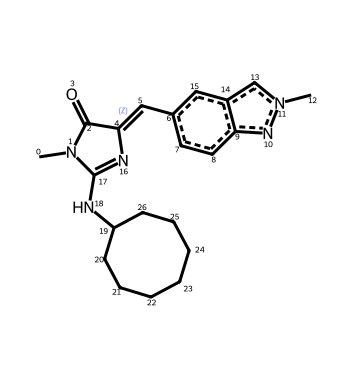 CN1C(=O)/C(=C/c2ccc3nn(C)cc3c2)N=C1NC1CCCCCCC1